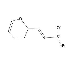 CC(C)(C)[S@@+]([O-])/N=C/C1CCC=CO1